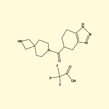 O=C(C1CCc2[nH]nnc2C1)N1CCC2(CC1)CNC2.O=C(O)C(F)(F)F